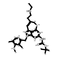 CCNCCC1=Cc2nn(Cc3ncc(C)c(OC)c3C)c3nc(NC(=O)OC(C)(C)C)nc(c23)SC1